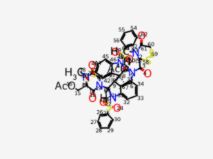 CC(=O)OC[C@@]1(C(=O)N2CC[C@]3([C@]45C[C@@]67SS[C@@](COC(C)=O)(C(=O)N6[C@H]4N(S(=O)(=O)c4ccccc4)c4ccccc45)N(C)C7=O)c4ccccc4N(S(=O)(=O)c4ccccc4)[C@H]23)SSCC(=O)N1C